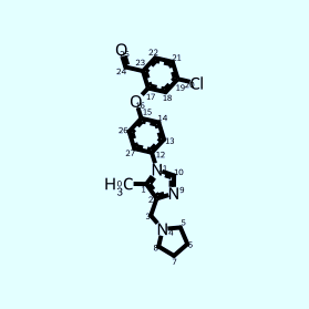 Cc1c(CN2CCCC2)ncn1-c1ccc(Oc2cc(Cl)ccc2C=O)cc1